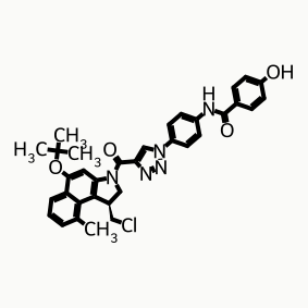 Cc1cccc2c(OC(C)(C)C)cc3c(c12)[C@H](CCl)CN3C(=O)c1cn(-c2ccc(NC(=O)c3ccc(O)cc3)cc2)nn1